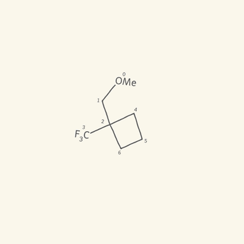 COCC1(C(F)(F)F)CCC1